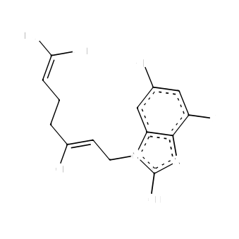 CC(C)=CCC/C(C)=C/Cn1c(C)nc2c(Cl)cc(Cl)cc21